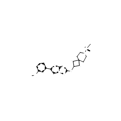 CS(=O)(=O)N1CCC2(CC1)CC(Nc1nn3cc(-c4cccc(OC(F)(F)F)c4)nc3s1)C2